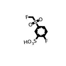 O=S(=O)(O)c1cc(S(=O)(=O)CF)ccc1F